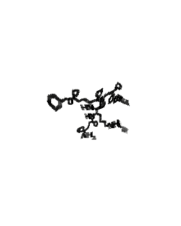 CC(C)(C)OC(=O)CNC(=O)C(CCC(=O)OCc1ccccc1)NC(=O)C(CCCCN)NC(=O)CCC(N)=O